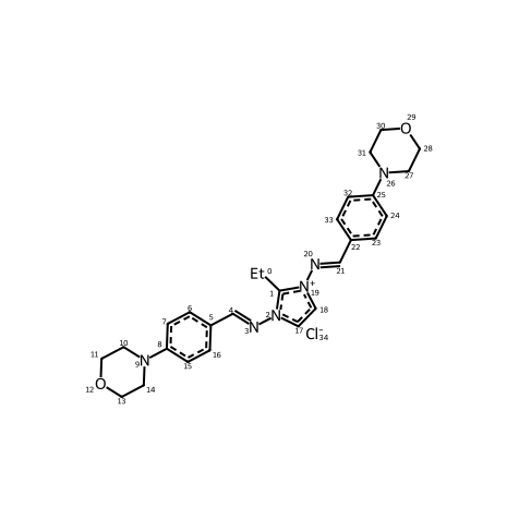 CCc1n(N=Cc2ccc(N3CCOCC3)cc2)cc[n+]1N=Cc1ccc(N2CCOCC2)cc1.[Cl-]